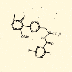 COc1cnn(C)c(=O)c1-c1ccc(C[C@H](NC(=O)c2cc(F)ccc2Cl)C(=O)O)cc1